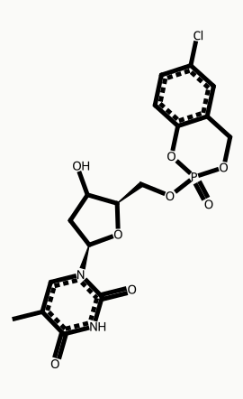 Cc1cn([C@H]2CC(O)[C@@H](COP3(=O)OCc4cc(Cl)ccc4O3)O2)c(=O)[nH]c1=O